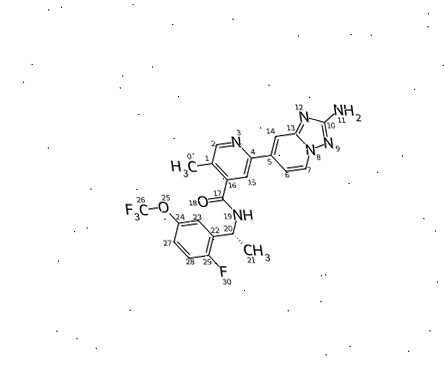 Cc1cnc(-c2ccn3nc(N)nc3c2)cc1C(=O)N[C@H](C)c1cc(OC(F)(F)F)ccc1F